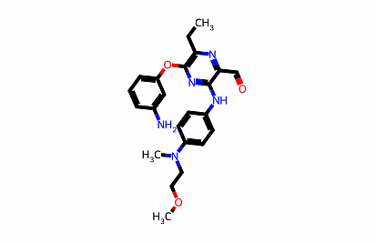 CCc1nc(C=O)c(Nc2ccc(N(C)CCOC)cc2)nc1Oc1cccc(N)c1